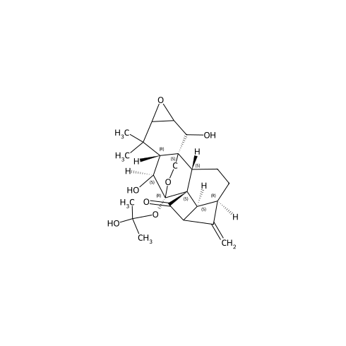 C=C1C2C(=O)[C@]34[C@H]2[C@H]1CC[C@H]3[C@@]12CO[C@]4(OC(C)(C)O)[C@@H](O)[C@@H]1C(C)(C)C1OC1C2O